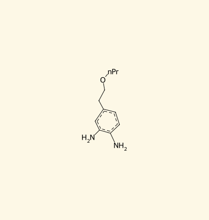 CCCOCCc1ccc(N)c(N)c1